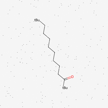 CC(C)(C)CCCCCCCCC(=O)C(C)(C)C